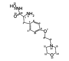 NC(Cc1ccc(OCCN2CCOCC2)cc1)C(=O)NO